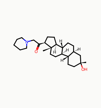 C[C@@]1(O)CC[C@H]2[C@@H](CC[C@@H]3[C@@H]2CC[C@]2(C)[C@@H](C(=O)CN4CCCCC4)CC[C@@H]32)C1